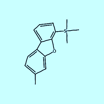 Cc1ccc2c(c1)oc1c([Si](C)(C)C)cccc12